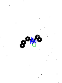 Clc1nc(-c2cccc(-c3ccc4ccccc4c3)c2)nc(-c2cccc3ccccc23)n1